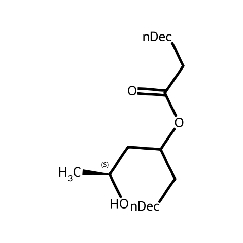 CCCCCCCCCCCC(=O)OC(CCCCCCCCCCC)C[C@H](C)O